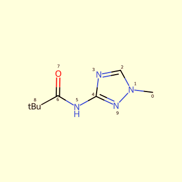 Cn1cnc(NC(=O)C(C)(C)C)n1